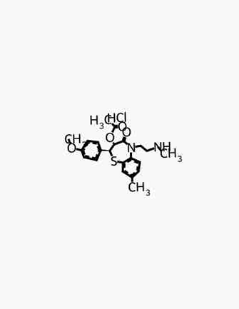 CNCCN1C(=O)[C@H](OC(C)=O)[C@H](c2ccc(OC)cc2)Sc2cc(C)ccc21.Cl